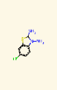 NC1Sc2cc(Cl)ccc2N1N